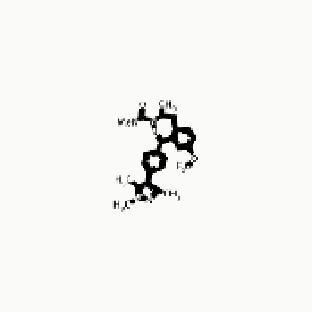 CNC(=O)N1N=C(c2ccc(-c3c(C)nn(C)c3C)cc2)c2cc(OC(F)(F)F)ccc2CC1C